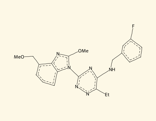 CCc1nnc(-n2c(OC)nc3c(COC)cccc32)nc1NCc1cccc(F)c1